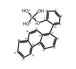 O[Si](O)(O)Oc1ccccc1-c1cccc2c1ccc1ccccc12